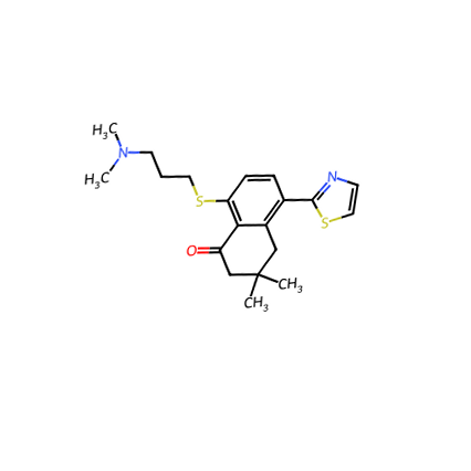 CN(C)CCCSc1ccc(-c2nccs2)c2c1C(=O)CC(C)(C)C2